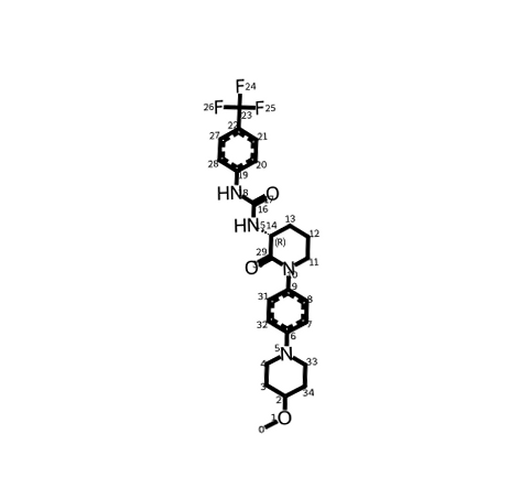 COC1CCN(c2ccc(N3CCC[C@@H](NC(=O)Nc4ccc(C(F)(F)F)cc4)C3=O)cc2)CC1